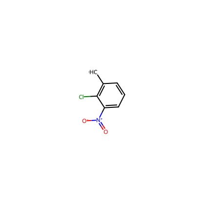 [CH]c1cccc([N+](=O)[O-])c1Cl